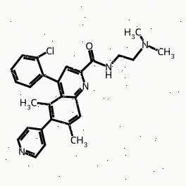 Cc1cc2nc(C(=O)NCCN(C)C)cc(-c3ccccc3Cl)c2c(C)c1-c1ccncc1